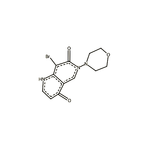 O=c1cc[nH]c2c(Br)c(=O)n(N3CCOCC3)cc12